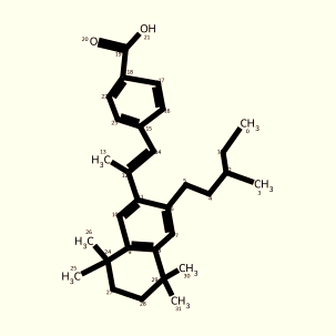 CCC(C)CCc1cc2c(cc1C(C)=Cc1ccc(C(=O)O)cc1)C(C)(C)CCC2(C)C